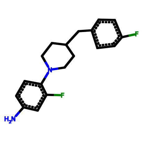 Nc1ccc(N2CCC(Cc3ccc(F)cc3)CC2)c(F)c1